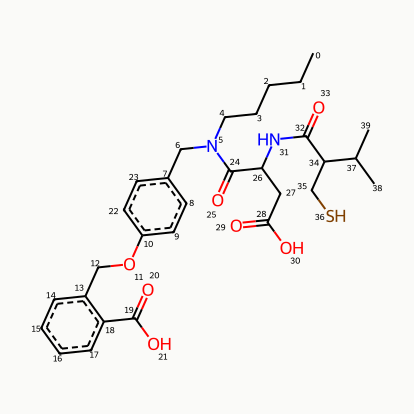 CCCCCN(Cc1ccc(OCc2ccccc2C(=O)O)cc1)C(=O)C(CC(=O)O)NC(=O)C(CS)C(C)C